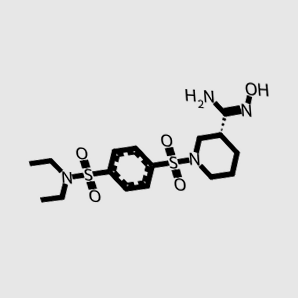 CCN(CC)S(=O)(=O)c1ccc(S(=O)(=O)N2CCC[C@@H](/C(N)=N/O)C2)cc1